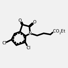 CCOC(=O)CCCN1C(=O)C(=O)c2cc(Cl)cc(Cl)c21